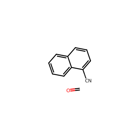 C=O.N#Cc1cccc2ccccc12